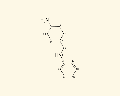 NC1CCC(CNc2ccccc2)CC1